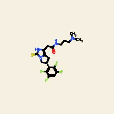 CN(C)CCCNC(=O)Cc1[nH]c(=S)n2c1C[C@H](c1c(F)c(F)cc(F)c1F)C2